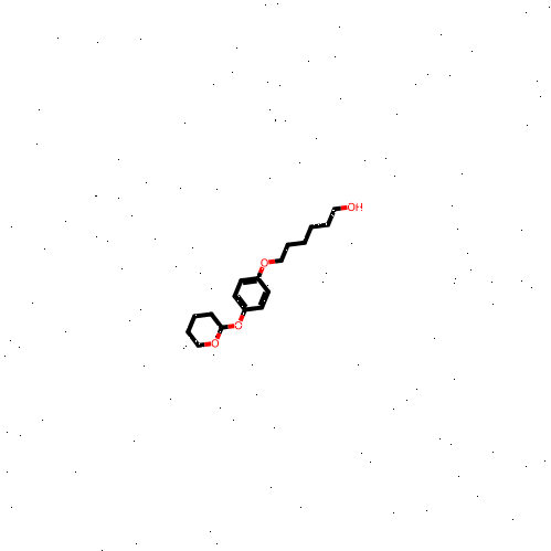 OCCCCCCOc1ccc(OC2CCCCO2)cc1